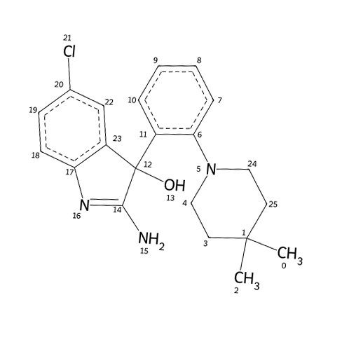 CC1(C)CCN(c2ccccc2C2(O)C(N)=Nc3ccc(Cl)cc32)CC1